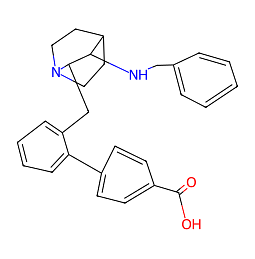 O=C(O)c1ccc(-c2ccccc2CC2C(NCc3ccccc3)C3CCN2CC3)cc1